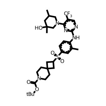 Cc1cc(S(=O)(=O)C2CC3(CCN(C(=O)OC(C)(C)C)CC3)C2)ccc1Nc1ncc(C(F)(F)F)c(N2CC(C)CC(C)(O)C2)n1